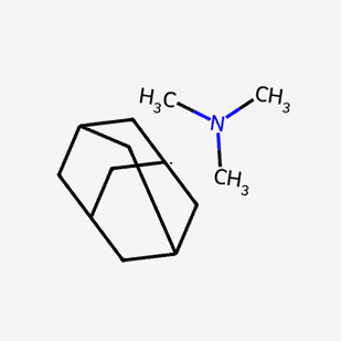 C1[C]2CC3CC1CC(C2)C3.CN(C)C